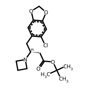 CC(C)(C)OC(=O)C[C@@H](Cc1cc2c(cc1Cl)OCO2)N1CCC1